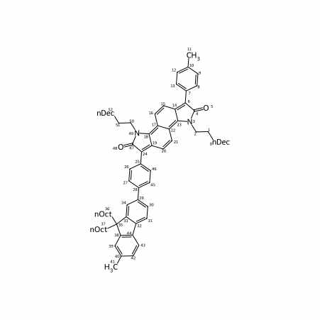 CCCCCCCCCCCCN1C(=O)C(c2ccc(C)cc2)=c2ccc3c4c(ccc3c21)=C(c1ccc(-c2ccc3c(c2)C(CCCCCCCC)(CCCCCCCC)c2cc(C)ccc2-3)cc1)C(=O)N4CCCCCCCCCCCC